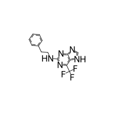 FC(F)(F)c1nc(NCCc2ccccc2)nc2nc[nH]c12